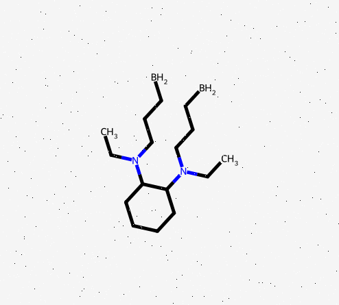 BCCCN(CC)C1CCCCC1N(CC)CCCB